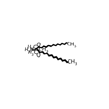 CCCCCCCCCCCCCC(=O)C(C)(C)C(C)(CN)C(=O)CCCCCCCCCCCCC